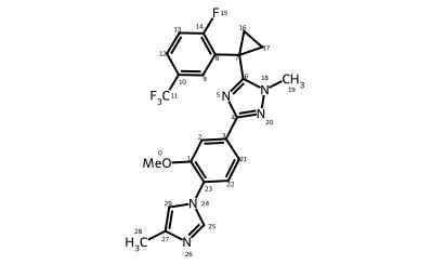 COc1cc(-c2nc(C3(c4cc(C(F)(F)F)ccc4F)CC3)n(C)n2)ccc1-n1cnc(C)c1